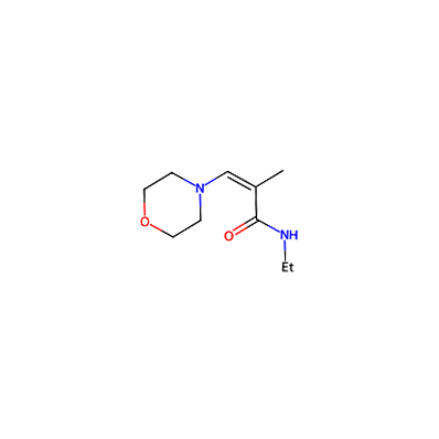 CCNC(=O)C(C)=CN1CCOCC1